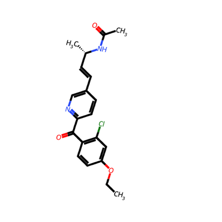 CCOc1ccc(C(=O)c2ccc(/C=C/[C@H](C)NC(C)=O)cn2)c(Cl)c1